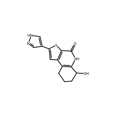 O=c1[nH]c2c(c3cc(-c4cn[nH]c4)sc13)CCCC2O